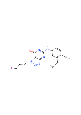 CCc1cc(NC2=NC(=O)C3C(=N2)N=NN3CCCCI)ccc1C